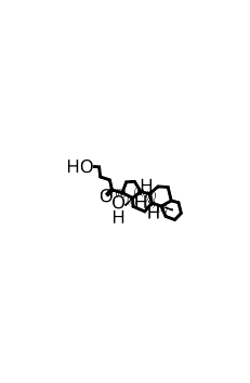 C[C@]12CCCCC1CC[C@@H]1[C@@H]2CC[C@@]2(C)[C@H]1CC[C@]2(O)C(=O)CCCO